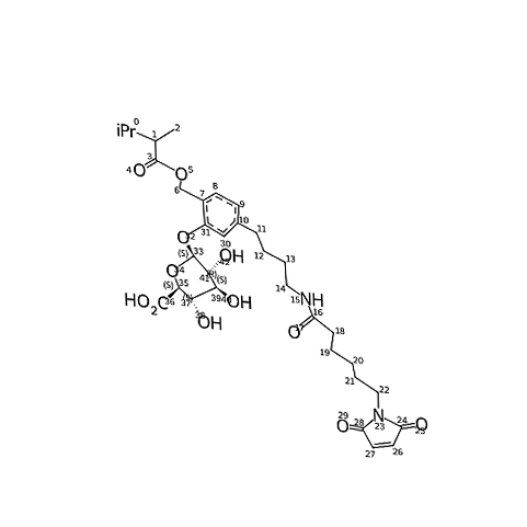 CC(C)C(C)C(=O)OCc1ccc(CCCCNC(=O)CCCCCN2C(=O)C=CC2=O)cc1O[C@@H]1O[C@H](C(=O)O)[C@@H](O)[C@H](O)[C@H]1O